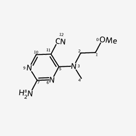 COCCN(C)c1nc(N)ncc1C#N